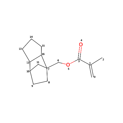 C=C(C)C(=O)OCC12CCC(C1)C1CCCC12